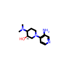 CN(C)C1CCN(c2ccncc2N)C[C@H]1O